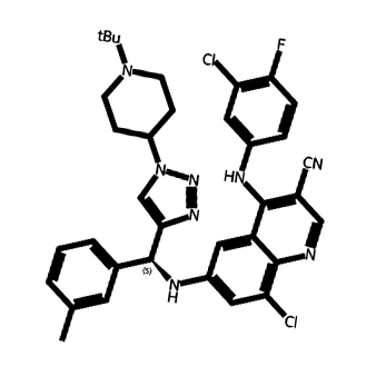 Cc1cccc([C@H](Nc2cc(Cl)c3ncc(C#N)c(Nc4ccc(F)c(Cl)c4)c3c2)c2cn(C3CCN(C(C)(C)C)CC3)nn2)c1